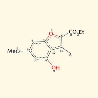 CCOC(=O)c1oc2cc(OC)cc(O)c2c1C